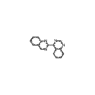 [c]1nc(-c2ncc3ccccc3n2)c2ccccc2n1